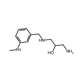 CPc1cccc(CNCC(O)CN)c1